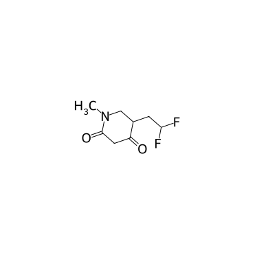 CN1CC(CC(F)F)C(=O)CC1=O